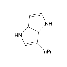 CCCC1=CNC2C=CNC12